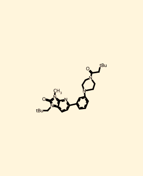 Cn1c(=O)n(CC(C)(C)C)c2ccc(-c3cccc(N4CCN(C(=O)CC(C)(C)C)CC4)c3)nc21